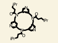 CC(C)CCC(=O)N1Cc2cncc(c2)CN(C(=O)CCC(C)C)Cc2cncc(c2)CN(C(=O)CCC(C)C)Cc2cncc(c2)C1